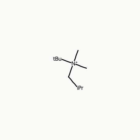 CC(C)C[N+](C)(C)C(C)(C)C